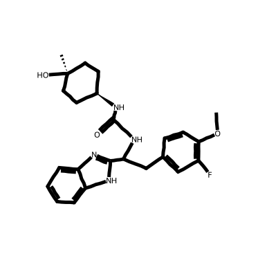 COc1ccc(CC(NC(=O)N[C@H]2CC[C@@](C)(O)CC2)c2nc3ccccc3[nH]2)cc1F